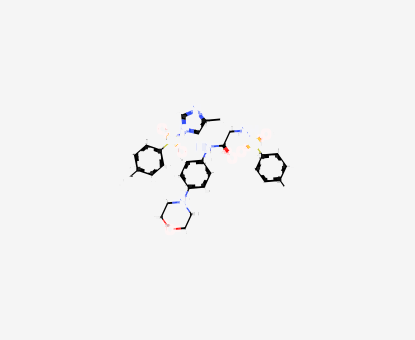 Cc1ccc(S(=O)(=O)N[C@@H](Cc2cn(S(=O)(=O)c3ccc(C)cc3)cn2)C(=O)Nc2ccc(N3CCOCC3)cc2)cc1